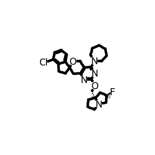 F[C@H]1CN2CCC[C@@]2(COc2nc3c(c(N4CCCCCC4)n2)COC2(CCc4c(Cl)cccc42)C3)C1